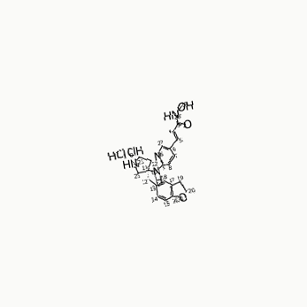 Cl.Cl.O=C(/C=C/c1ccc(N[C@]2(Cc3ccc4c(c3)CCO4)CCNC2)nc1)NO